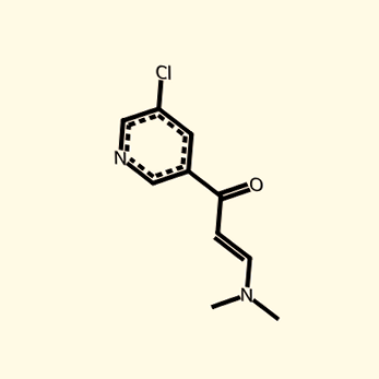 CN(C)/C=C/C(=O)c1cncc(Cl)c1